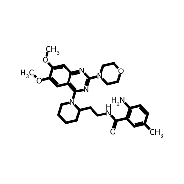 COc1cc2nc(N3CCOCC3)nc(N3CCCCC3CCNC(=O)c3cc(C)ccc3N)c2cc1OC